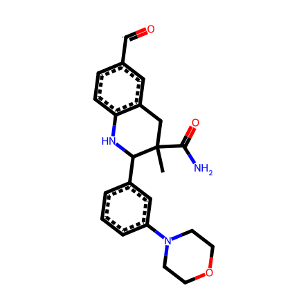 CC1(C(N)=O)Cc2cc([C]=O)ccc2NC1c1cccc(N2CCOCC2)c1